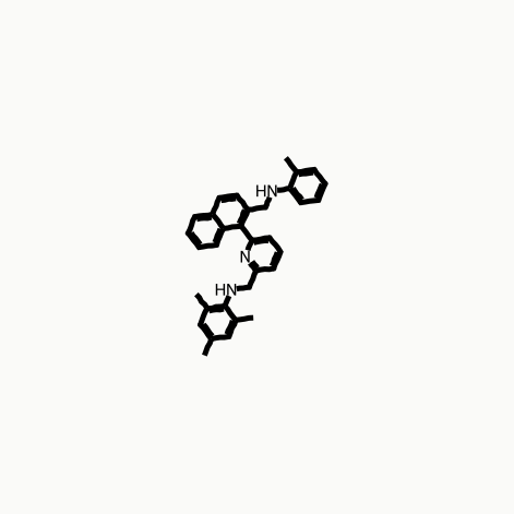 Cc1cc(C)c(NCc2cccc(-c3c(CNc4ccccc4C)ccc4ccccc34)n2)c(C)c1